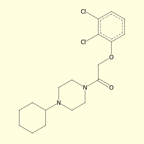 O=C(COc1cccc(Cl)c1Cl)N1CCN(C2CCCCC2)CC1